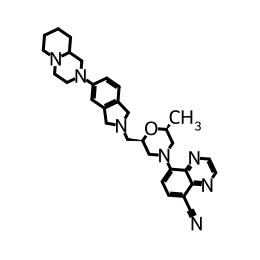 C[C@H]1CN(c2ccc(C#N)c3nccnc23)C[C@@H](CN2Cc3ccc(N4CCN5CCCCC5C4)cc3C2)O1